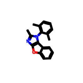 Cc1cccc(C)c1-n1c(C)nc2oc3ccccc3c21